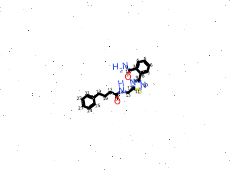 NC(=O)c1ccccc1-c1nsc(CNC(=O)[CH]CCc2ccccc2)n1